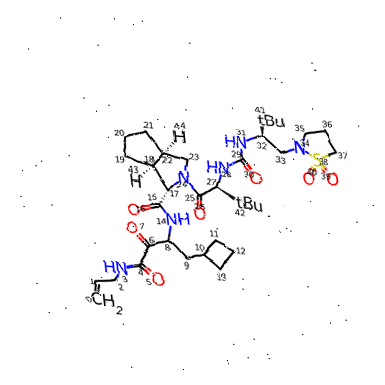 C=CCNC(=O)C(=O)C(CC1CCC1)NC(=O)[C@@H]1[C@H]2CCC[C@H]2CN1C(=O)[C@@H](NC(=O)N[C@H](CN1CCCS1(=O)=O)C(C)(C)C)C(C)(C)C